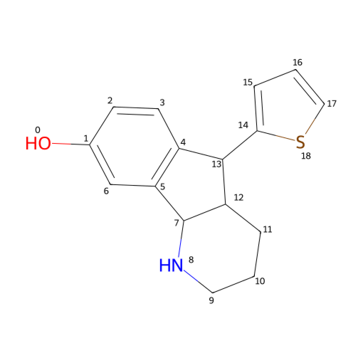 Oc1ccc2c(c1)C1NCCCC1C2c1cccs1